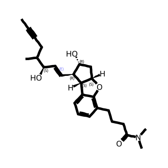 CC#CCC(C)[C@H](O)/C=C/[C@@H]1[C@H]2c3cccc(CCCC(=O)N(C)C)c3O[C@H]2C[C@H]1O